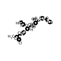 C/C(CN1CCN(c2ccc(C(=O)NS(=O)(=O)c3ccc(OC[C@H]4CN(C(=O)CN5CCOCC5)CCO4)c([N+](=O)[O-])c3)c(Oc3cnc4[nH]ccc4c3)c2)CC1)=C(\CC(C)C)c1ccc(Cl)cc1